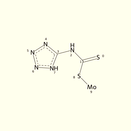 S=C(Nc1nnn[nH]1)[S][Mo]